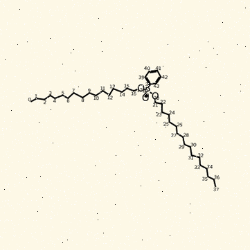 CCCCCCCCCCCCCCCCCOP(=O)(OCCCCCCCCCCCCCCCCC)c1ccccc1